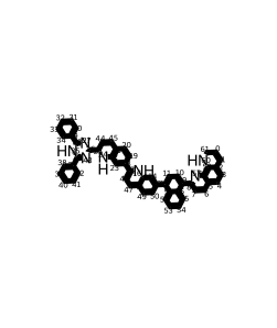 C1=Cc2ccc3ccc(-c4ccc(C5=CC6NC(c7ccc8c(c7)NC(C7=NC(c9ccccc9)NC(c9ccccc9)=N7)C=C8)=CC=C6C=C5)c5ccccc45)nc3c2NC1